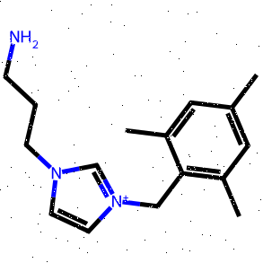 Cc1cc(C)c(C[n+]2ccn(CCCN)c2)c(C)c1